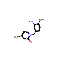 COc1ccc(Cn2ccc(C)cc2=O)cc1N